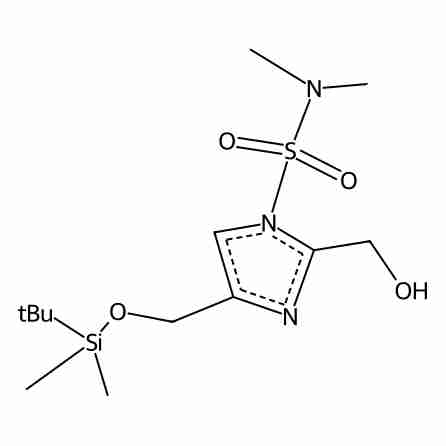 CN(C)S(=O)(=O)n1cc(CO[Si](C)(C)C(C)(C)C)nc1CO